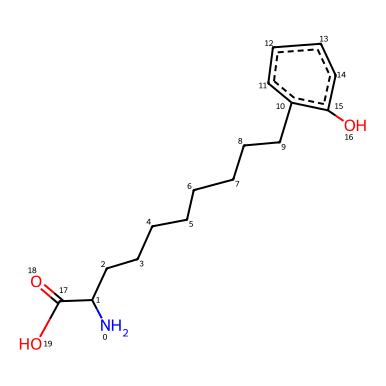 NC(CCCCCCCCc1ccccc1O)C(=O)O